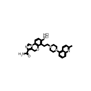 Cc1ccc2c(N3CCN(CCc4c(F)ccc5c4OCc4c(C(N)=O)ncn4-5)CC3)cccc2n1.Cl.Cl